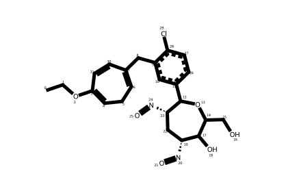 CCOC1=CCC=C(Cc2cc(C3OC(CO)C(O)[C@H](N=O)C[C@@H]3N=O)ccc2Cl)C=C1